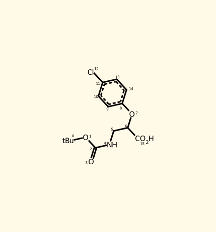 CC(C)(C)OC(=O)NCC(Oc1ccc(Cl)cc1)C(=O)O